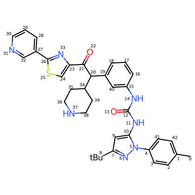 Cc1ccc(-n2nc(C(C)(C)C)cc2NC(=O)Nc2cccc(C(C(=O)c3csc(-c4cccnc4)n3)C3CCNCC3)c2)cc1